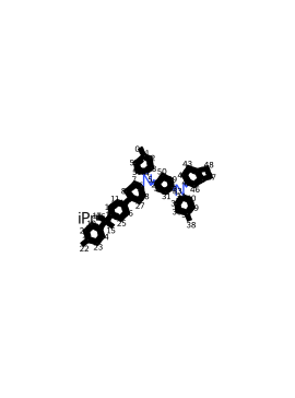 Cc1ccc(N(c2ccc(-c3ccc(C(C)(CC(C)C)c4ccc(C)cc4)cc3)cc2)c2ccc(N(c3ccc(C)cc3)c3ccc4c(c3)CC4)cc2)cc1